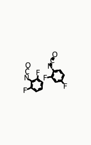 O=C=Nc1c(F)cccc1F.O=C=Nc1ccc(F)cc1F